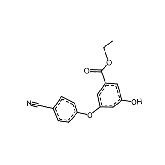 CCOC(=O)c1cc(O)cc(Oc2ccc(C#N)cc2)c1